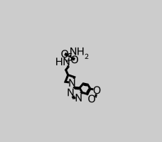 NS(=O)(=O)NCCC1CN(c2ncnc3c4c(ccc23)OCO4)C1